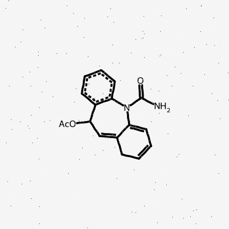 CC(=O)OC1C=C2CC=CC=C2N(C(N)=O)c2ccccc21